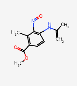 C=C(C)Nc1ccc(C(=O)OC)c(C)c1N=O